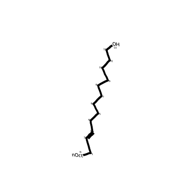 CCCCCCCCC/C=C/CCCCCCCCCO